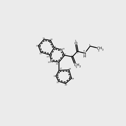 C=C(C(=O)NCC)c1nc2ccccc2nc1-c1ccccc1